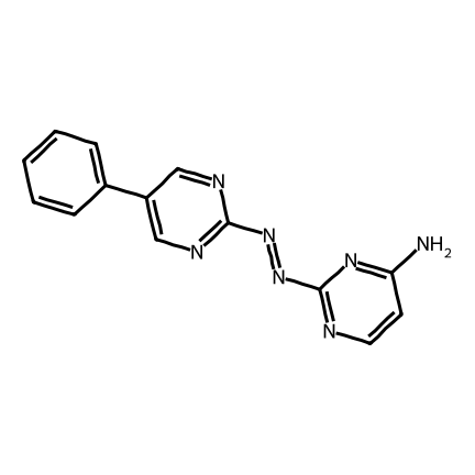 Nc1ccnc(N=Nc2ncc(-c3ccccc3)cn2)n1